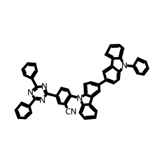 N#Cc1cc(-c2nc(-c3ccccc3)nc(-c3ccccc3)n2)ccc1-n1c2ccccc2c2cc(-c3ccc4c(c3)c3ccccc3n4-c3ccccc3)ccc21